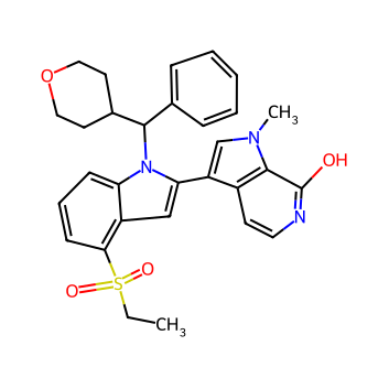 CCS(=O)(=O)c1cccc2c1cc(-c1cn(C)c3c(O)nccc13)n2C(c1ccccc1)C1CCOCC1